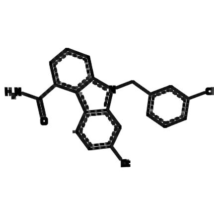 CCc1c[c]c2c3c(C(N)=O)cccc3n(Cc3cccc(Cl)c3)c2c1